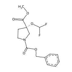 COC(=O)[C@]1(OC(F)F)CCN(C(=O)OCc2ccccc2)C1